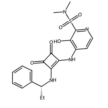 CC[C@@H](Nc1c(Nc2ccnc(S(=O)(=O)N(C)C)c2O)c(=O)c1=O)c1ccccc1